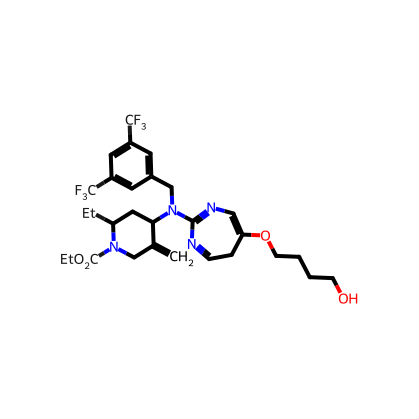 C=C1CN(C(=O)OCC)C(CC)CC1N(Cc1cc(C(F)(F)F)cc(C(F)(F)F)c1)C1=NC=C(OCCCCO)CC=N1